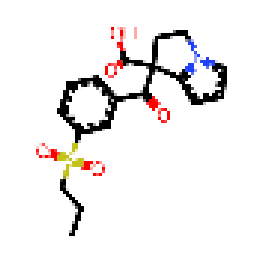 CCCS(=O)(=O)c1cccc(C(=O)C2(C(=O)O)CCn3cccc32)c1